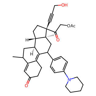 CC(=O)OCC(=O)[C@@]1(C#CCO)CC[C@H]2[C@@H]3CC(C)C4=CC(=O)CCC4=C3C(c3ccc(N4CCCCC4)cc3)C[C@@]21C